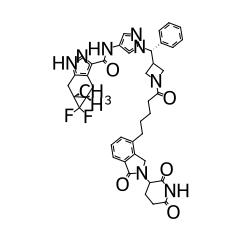 C[C@@]12Cc3[nH]nc(C(=O)Nc4cnn([C@H](c5ccccc5)C5CN(C(=O)CCCCc6cccc7c6CN(C6CCC(=O)NC6=O)C7=O)C5)c4)c3C[C@@H]1C2(F)F